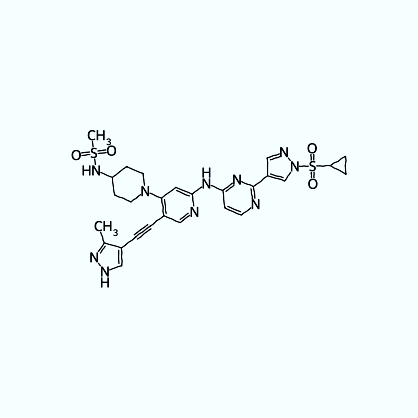 Cc1n[nH]cc1C#Cc1cnc(Nc2ccnc(-c3cnn(S(=O)(=O)C4CC4)c3)n2)cc1N1CCC(NS(C)(=O)=O)CC1